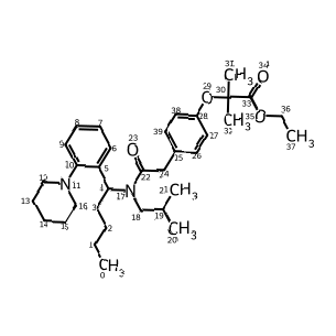 CCCCC(c1ccccc1N1CCCCC1)N(CC(C)C)C(=O)Cc1ccc(OC(C)(C)C(=O)OCC)cc1